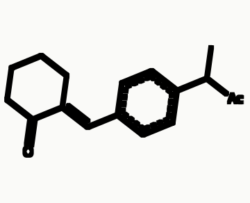 CC(=O)C(C)c1ccc(/C=C2\CCCCC2=O)cc1